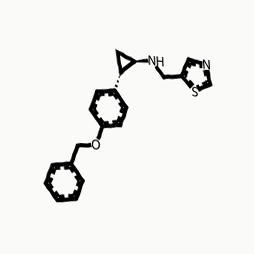 c1ccc(COc2ccc([C@@H]3C[C@H]3NCc3cncs3)cc2)cc1